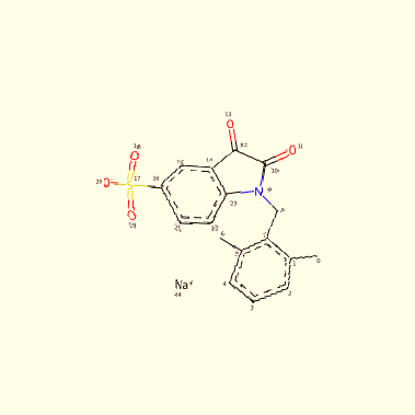 Cc1cccc(C)c1CN1C(=O)C(=O)c2cc(S(=O)(=O)[O-])ccc21.[Na+]